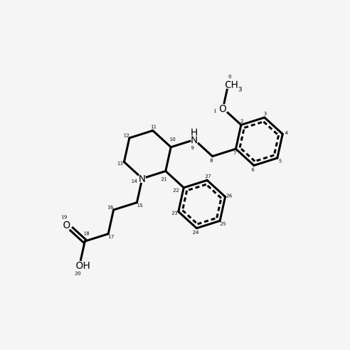 COc1ccccc1CNC1CCCN(CCCC(=O)O)C1c1ccccc1